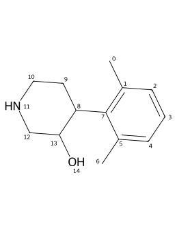 Cc1cccc(C)c1C1CCNCC1O